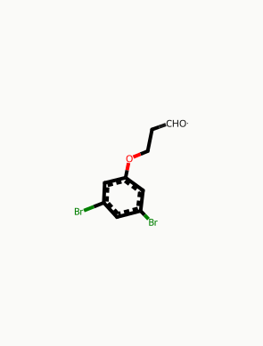 O=[C]CCOc1cc(Br)cc(Br)c1